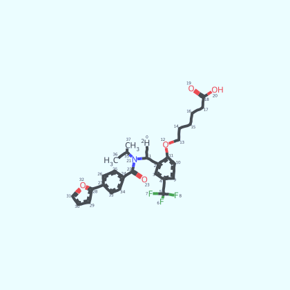 [2H]C(c1cc(C(F)(F)F)ccc1OCCCCCC(=O)O)N(C(=O)c1ccc(-c2ccco2)cc1)C(C)C